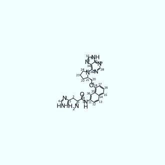 N[C@@H](Cc1c[nH]cn1)C(=O)Nc1ccc2cccc(OC[C@H]3CCCN3c3ncnc4[nH]cnc34)c2c1